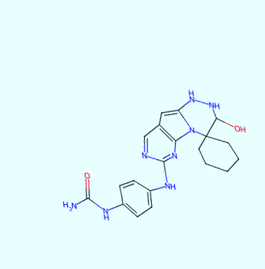 NC(=O)Nc1ccc(Nc2ncc3cc4n(c3n2)C2(CCCCC2)C(O)NN4)cc1